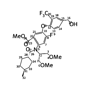 COCC(COC)N(c1cc(F)c(Oc2ccc(CO)cc2C(F)(F)F)cc1C(=O)OC)C(=O)[C@H]1CC[C@H](C)CC1